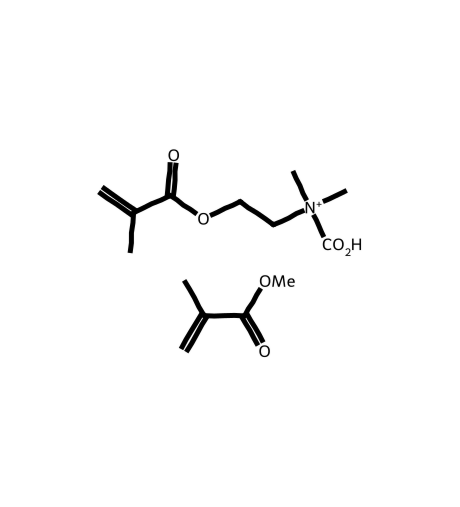 C=C(C)C(=O)OC.C=C(C)C(=O)OCC[N+](C)(C)C(=O)O